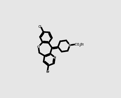 CCOC(=O)N1CCC(=C2c3ccc(Cl)cc3OCc3cc(Br)cnc32)CC1